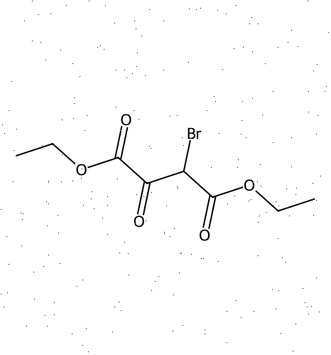 CCOC(=O)C(=O)C(Br)C(=O)OCC